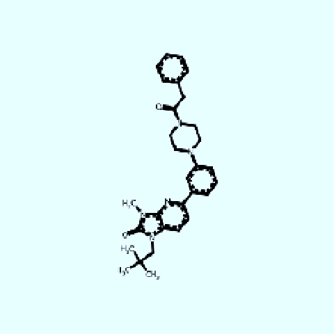 Cn1c(=O)n(CC(C)(C)C)c2ccc(-c3cccc(N4CCN(C(=O)Cc5ccccc5)CC4)c3)nc21